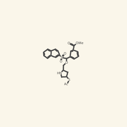 COC(=O)c1cccc(C(OCC2CC(SC(C)=O)CN2)S(=O)(=O)c2ccc3ccccc3c2)c1